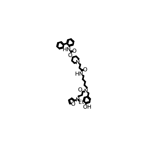 CCN(CCC(=O)N(CCCCCNC(=O)CCN1CCC(OC(=O)Nc2ccccc2-c2ccccc2)CC1)Cc1ccc(O)cc1)c1ccco1